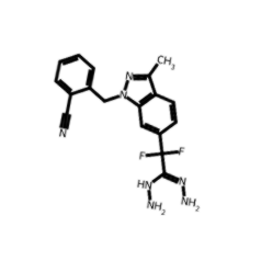 Cc1nn(Cc2ccccc2C#N)c2cc(C(F)(F)/C(=N/N)NN)ccc12